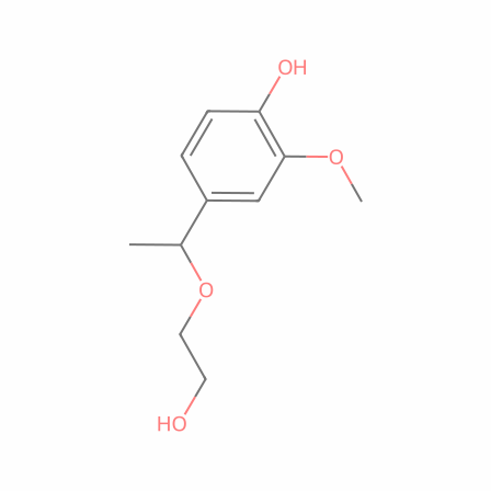 COc1cc(C(C)OCCO)ccc1O